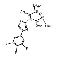 CO[C@H]1O[C@H](COC(C)=O)[C@H](OC(C)=O)[C@H](c2nc(-c3cc(F)c(F)c(F)c3)co2)[C@H]1OC(C)=O